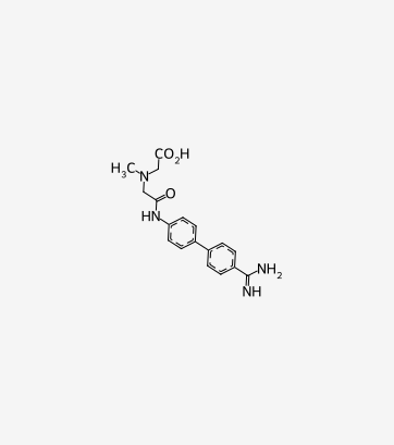 CN(CC(=O)O)CC(=O)Nc1ccc(-c2ccc(C(=N)N)cc2)cc1